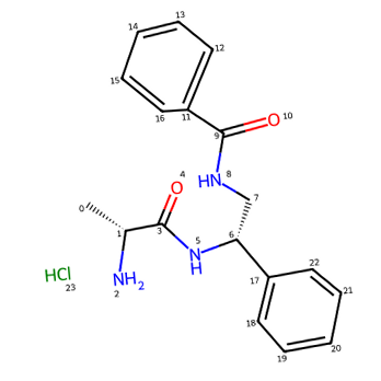 C[C@@H](N)C(=O)N[C@H](CNC(=O)c1ccccc1)c1ccccc1.Cl